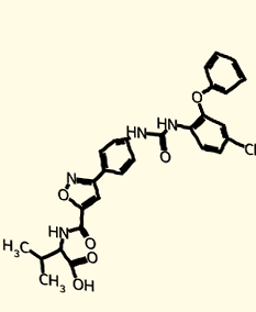 CC(C)C(NC(=O)c1cc(-c2ccc(NC(=O)Nc3ccc(Cl)cc3Oc3ccccc3)cc2)no1)C(=O)O